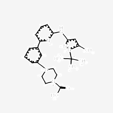 Cc1cc(Nc2cccc(-c3cccc(N4CCN(C(=O)O)CC4)c3)n2)nn1C(C)(C)C